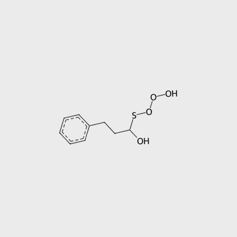 OOOSC(O)CCc1ccccc1